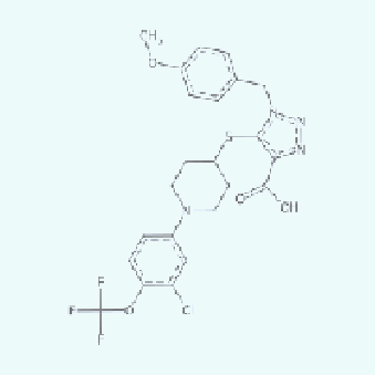 COc1ccc(Cn2nnc(C(=O)O)c2SC2CCN(c3ccc(OC(F)(F)F)c(Cl)c3)CC2)cc1